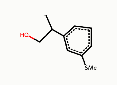 [CH2]C(CO)c1cccc(SC)c1